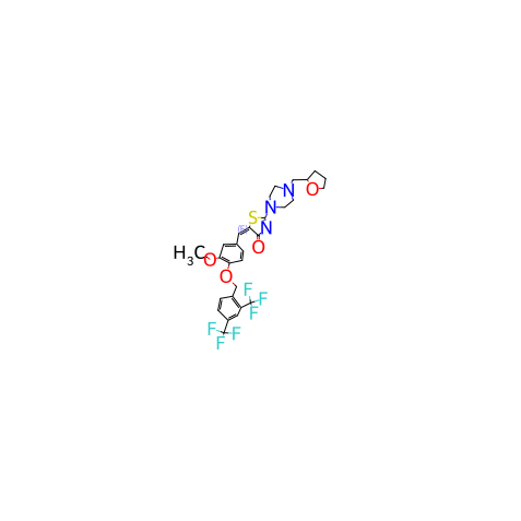 COc1cc(/C=C2/SC(N3CCN(CC4CCCO4)CC3)=NC2=O)ccc1OCc1ccc(C(F)(F)F)cc1C(F)(F)F